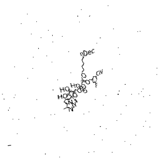 C#C[C@@]1(c2ccc3c(C)ncnn23)O[C@H](COP(=O)(O)OC[C@@H](COCCCCCCCCCCCCCCCC)OCc2cc(F)cc(C#N)c2)[C@@H](O)[C@H]1O